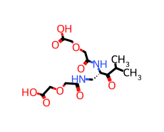 CC(C)C(=O)[C@H](CNC(=O)COCC(=O)O)NC(=O)COCC(=O)O